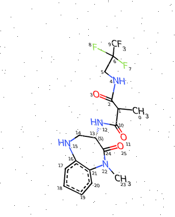 CC(C(=O)NCC(F)(F)C(F)(F)F)C(=O)N[C@H]1CNc2ccccc2N(C)C1=O